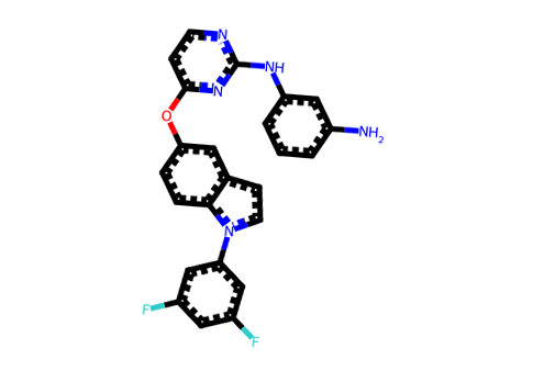 Nc1cccc(Nc2nccc(Oc3ccc4c(ccn4-c4cc(F)cc(F)c4)c3)n2)c1